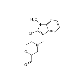 Cn1c(Cl)c(CN2CCOC(C=O)C2)c2ccccc21